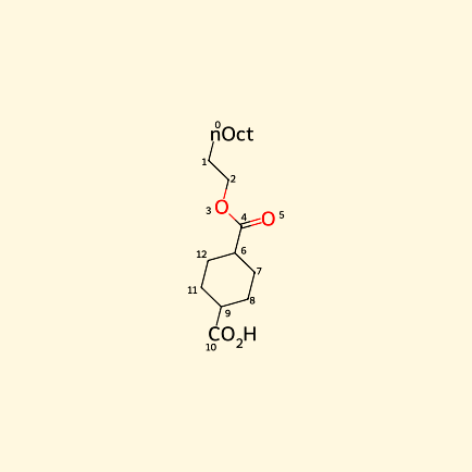 CCCCCCCCCCOC(=O)C1CCC(C(=O)O)CC1